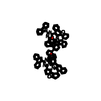 c1ccc2cc3c(cc2c1)c1cc2ccccc2cc1n3-c1c(-c2nc(-c3cccc4c(-c5cccc6oc7c(-c8nc(-c9c(-n%10c%11ccccc%11c%11cc%12ccccc%12cc%11%10)c%10c%11ccccc%11oc%10c%10ccccc9%10)nc(-n9c%10ccccc%10c%10ccccc%109)n8)cccc7c56)cccc34)nc(-c3cc4ccccc4c4ccccc34)n2)ccc2oc3ccccc3c12